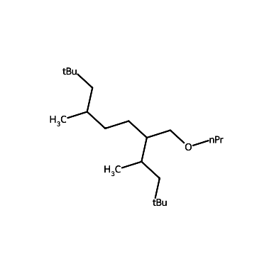 CCCOCC(CCC(C)CC(C)(C)C)C(C)CC(C)(C)C